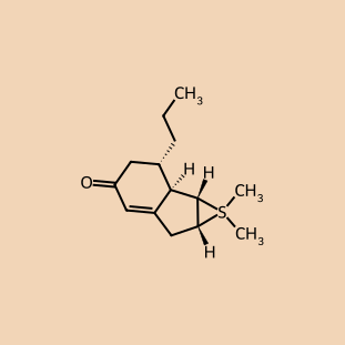 CCC[C@H]1CC(=O)C=C2C[C@@H]3[C@H]([C@@H]21)S3(C)C